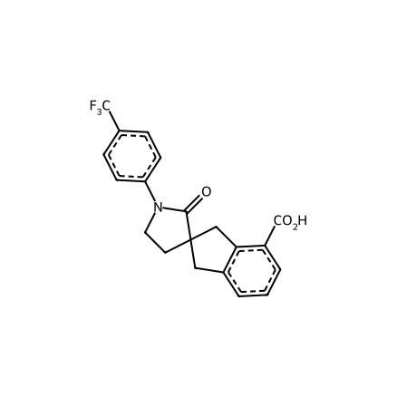 O=C(O)c1cccc2c1CC1(CCN(c3ccc(C(F)(F)F)cc3)C1=O)C2